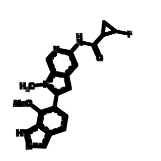 COc1c(-c2cc3cc(NC(=O)C4CC4F)ncc3n2C)ccc2cn[nH]c12